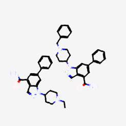 CCN1CCC(n2ncc3c(C(N)=O)cc(-c4ccccc4)cc32)CC1.NC(=O)c1cc(-c2ccccc2)cc2c1cnn2C1CCN(Cc2ccccc2)CC1